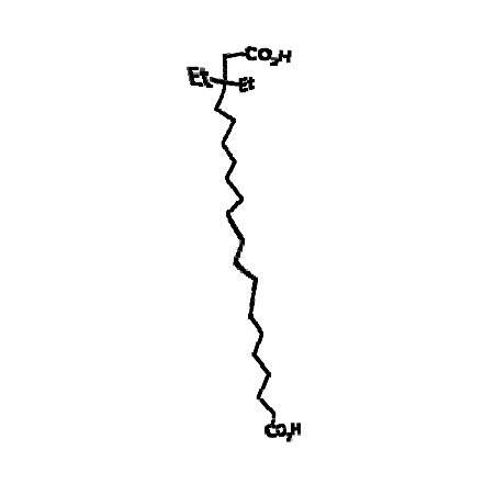 CCC(CC)(CCCCCCCCCCCCCCCCC(=O)O)CC(=O)O